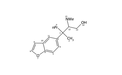 CCCC(C)(c1ccc2occc2c1)C(CO)NC